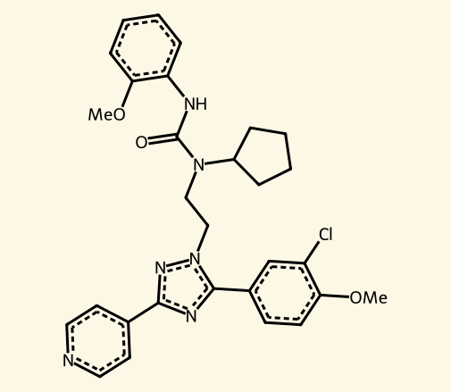 COc1ccc(-c2nc(-c3ccncc3)nn2CCN(C(=O)Nc2ccccc2OC)C2CCCC2)cc1Cl